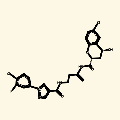 C=C(CCNC(=O)c1cnn(-c2ccc(Cl)c(F)c2)c1)NC(=O)[C@H]1C[C@@H](O)c2cc(Cl)ccc2O1